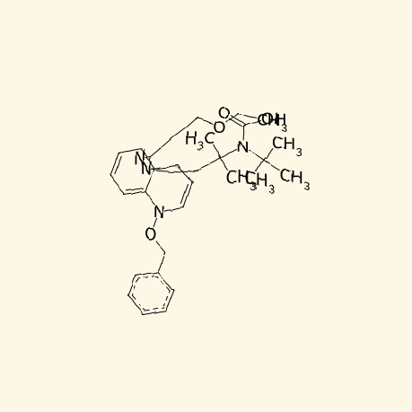 CCOCC1N=C2C=CC=C3N(OCc4ccccc4)C=CCC32N1CC(C)(C)N(C(=O)O)C(C)(C)C